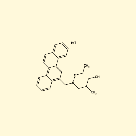 CCON(Cc1cc2c3ccccc3ccc2c2ccccc12)CC(C)CO.Cl